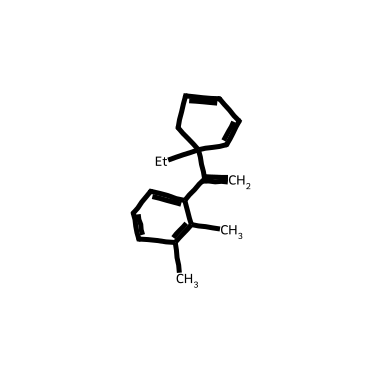 C=C(c1cccc(C)c1C)C1(CC)C=CC=CC1